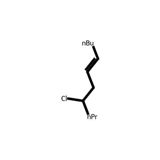 CCCC/C=C/CC(Cl)CCC